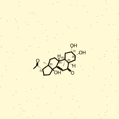 CC(=O)[C@H]1CCC2(O)C3=CC(=O)[C@@H]4C[C@@H](O)[C@@H](O)C[C@]4(C)[C@H]3CC[C@]12C